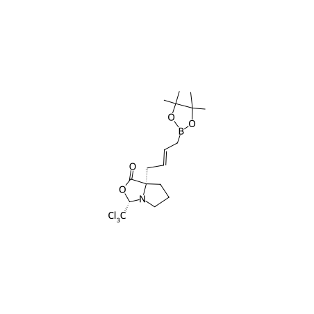 CC1(C)OB(C/C=C/C[C@]23CCCN2[C@H](C(Cl)(Cl)Cl)OC3=O)OC1(C)C